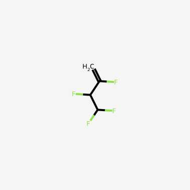 C=C(F)C(F)C(F)F